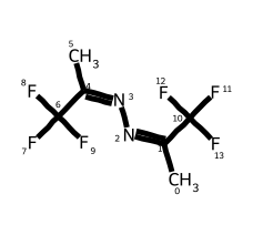 CC(=NN=C(C)C(F)(F)F)C(F)(F)F